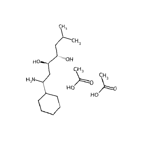 CC(=O)O.CC(=O)O.CC(C)C[C@H](O)[C@H](O)CC(N)C1CCCCC1